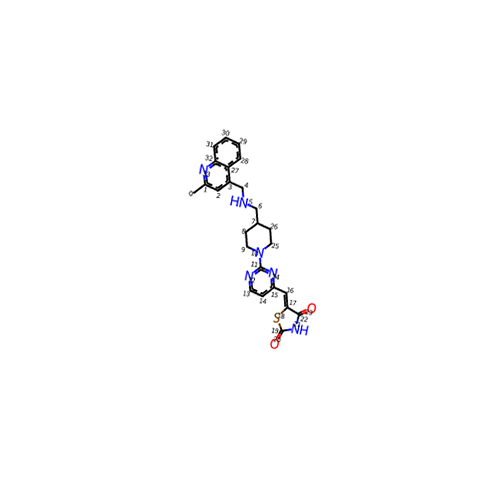 Cc1cc(CNCC2CCN(c3nccc(/C=C4\SC(=O)NC4=O)n3)CC2)c2ccccc2n1